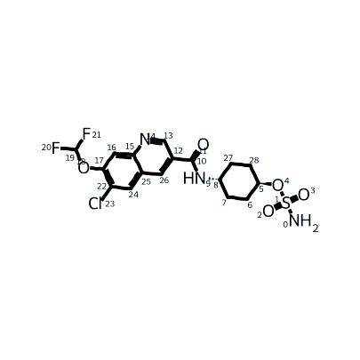 NS(=O)(=O)O[C@H]1CC[C@H](NC(=O)c2cnc3cc(OC(F)F)c(Cl)cc3c2)CC1